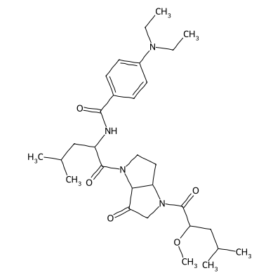 CCN(CC)c1ccc(C(=O)NC(CC(C)C)C(=O)N2CCC3C2C(=O)CN3C(=O)C(CC(C)C)OC)cc1